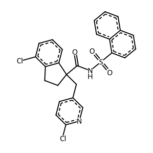 O=C(NS(=O)(=O)c1cccc2ccccc12)C1(Cc2ccc(Cl)nc2)CCc2c(Cl)cccc21